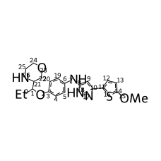 CCC(Oc1ccc(Nc2cc(-c3ccc(OC)s3)n[nH]2)cc1)C1COCCN1